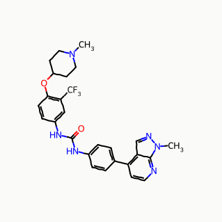 CN1CCC(Oc2ccc(NC(=O)Nc3ccc(-c4ccnc5c4cnn5C)cc3)cc2C(F)(F)F)CC1